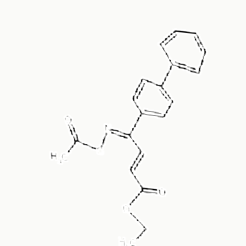 CCOC(=O)/C=C/C(=N\OC(C)=O)c1ccc(-c2ccccc2)cc1